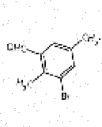 [CH2]c1cc(Br)c(C)c(C=O)c1